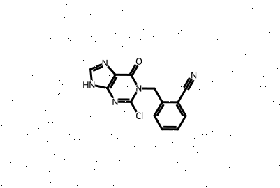 N#Cc1ccccc1Cn1c(Cl)nc2[nH]cnc2c1=O